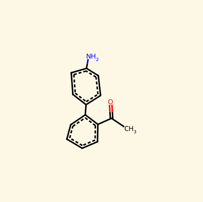 CC(=O)c1ccccc1-c1ccc(N)cc1